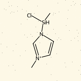 C[n+]1ccn([SiH](C)Cl)c1